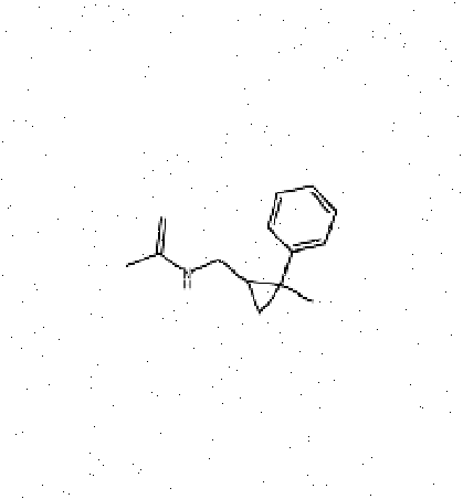 C=C(C)NCC1CC1(C)c1ccccc1